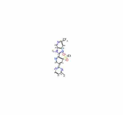 CCS(=O)(=O)c1cc(-c2nccc(C)n2)cnc1-c1nc2cc(C(F)(F)F)ncc2n1C